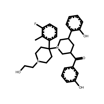 Cc1c(F)cccc1C1(N2CC(C(=O)c3cccc(O)c3)CC(c3cc[c]cc3O)C2)CCN(CCO)CC1